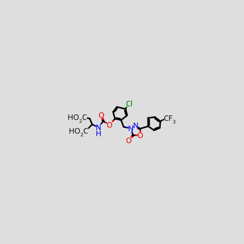 O=C(O)CC(NC(=O)Oc1ccc(Cl)cc1Cn1nc(-c2ccc(C(F)(F)F)cc2)oc1=O)C(=O)O